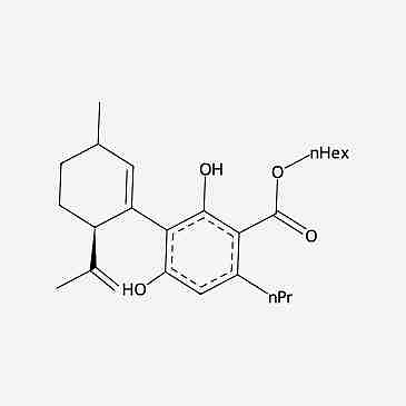 C=C(C)[C@H]1CCC(C)C=C1c1c(O)cc(CCC)c(C(=O)OCCCCCC)c1O